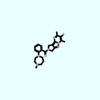 Cc1nc2c3c(nn2c(C)c1F)CN(C(=O)c1ccccc1N1CCCN(C)CC1)C3